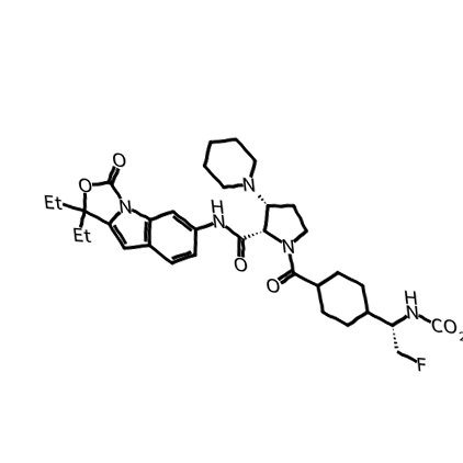 CCC1(CC)OC(=O)n2c1cc1ccc(NC(=O)[C@@H]3[C@H](N4CCCCC4)CCN3C(=O)C3CCC([C@@H](CF)NC(=O)O)CC3)cc12